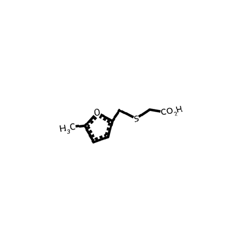 Cc1ccc(CSCC(=O)O)o1